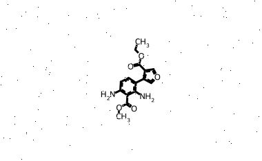 CCOC(=O)c1cocc1-c1ccc(N)c(C(=O)OC)c1N